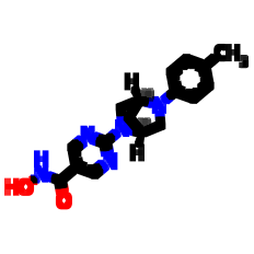 Cc1ccc(N2C[C@H]3C[C@@H]2CN3c2ncc(C(=O)NO)cn2)cc1